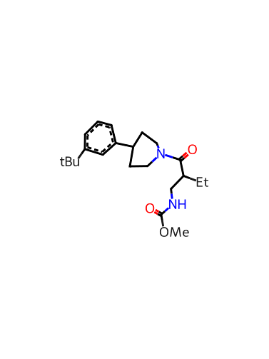 CCC(CNC(=O)OC)C(=O)N1CCC(c2cccc(C(C)(C)C)c2)CC1